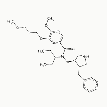 CCC(CC)N(C[C@H]1CNC[C@@H]1Cc1ccccc1)C(=O)c1ccc(OC)c(OCCCOC)c1